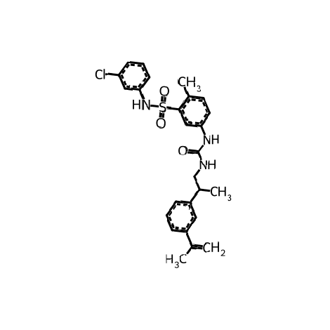 C=C(C)c1cccc(C(C)CNC(=O)Nc2ccc(C)c(S(=O)(=O)Nc3cccc(Cl)c3)c2)c1